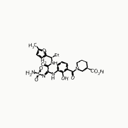 C=C(N[C@H](CC)c1ccc(C)o1)/C(=N\S(N)(=O)=O)Nc1cccc(C(=O)N2CCC[C@@H](C(=O)O)C2)c1O